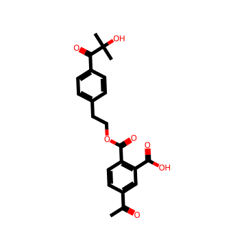 CC(=O)c1ccc(C(=O)OCCc2ccc(C(=O)C(C)(C)O)cc2)c(C(=O)O)c1